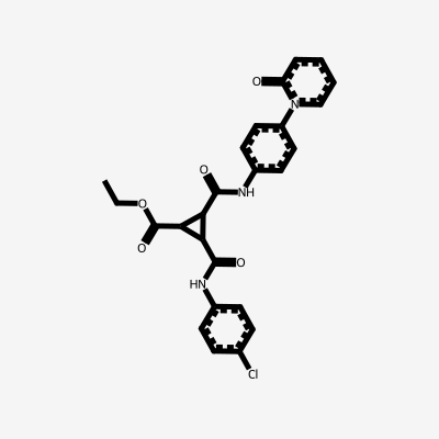 CCOC(=O)C1C(C(=O)Nc2ccc(Cl)cc2)C1C(=O)Nc1ccc(-n2ccccc2=O)cc1